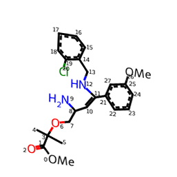 COC(=O)C(C)(C)OCC(N)/C=C(\NCc1ccccc1Cl)c1cccc(OC)c1